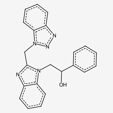 OC(Cn1c(Cn2nnc3ccccc32)nc2ccccc21)c1ccccc1